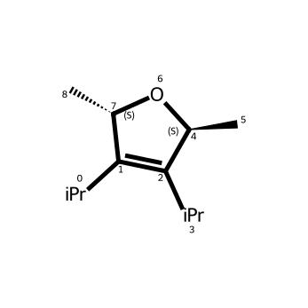 CC(C)C1=C(C(C)C)[C@H](C)O[C@H]1C